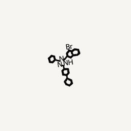 Brc1cc(C2=NC(c3ccccc3)=NC(c3ccc(-c4ccccc4)cc3)N2)cc2ccccc12